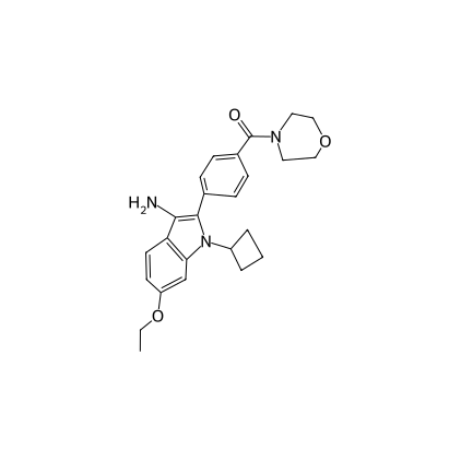 CCOc1ccc2c(N)c(-c3ccc(C(=O)N4CCOCC4)cc3)n(C3CCC3)c2c1